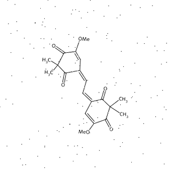 COC1=CC(=CC=C2C=C(OC)C(=O)C(C)(C)C2=O)C(=O)C(C)(C)C1=O